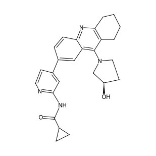 O=C(Nc1cc(-c2ccc3nc4c(c(N5CC[C@@H](O)C5)c3c2)CCCC4)ccn1)C1CC1